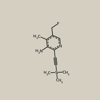 Cc1c(CF)cnc(C#C[Si](C)(C)C)c1N